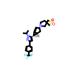 CC(C)n1nc(-c2ccc(C(F)(F)F)cc2)cc1[C@@H]1C2=C[C@@H](N3CCC4(C3)CS(=O)(=O)C4)C[C@H]21